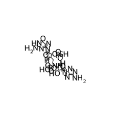 NCCC1C2OP(=O)(S)OC[C@H]3O[C@@H](n4cnc5c(N)ncnc54)C(O)C3OP(=O)(O)OC[C@H]1O[C@H]2n1cnc2c(=O)[nH]c(N)nc21